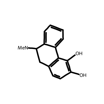 CNC1Cc2ccc(O)c(O)c2-c2ccccc21